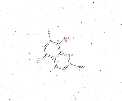 CNc1ccc2c(Cl)cc(Cl)c(O)c2n1